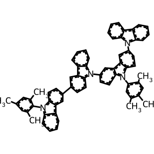 Cc1cc(C)c(-n2c3ccccc3c3cc(-c4ccc5c(c4)c4ccccc4n5-c4ccc5c(c4)c4cc(-n6c7ccccc7c7ccccc76)ccc4n5-c4cc(C)c(C)cc4C)ccc32)c(C)c1